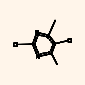 Cc1nc(Cl)nc(C)c1Cl